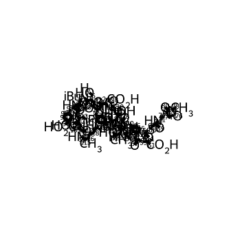 CC[C@H](C)[C@H](NC(=O)[C@H](CO)NC(=O)[C@H](Cc1ccc(O)cc1)NC(=O)[C@H](CC(=O)O)NC(=O)[C@H](CO)NC(=O)[C@@H](NC(=O)[C@H](Cc1ccccc1)NC(=O)[C@@H](NC(=O)CNC(=O)[C@H](CCC(=O)O)NC(=O)CSCC(=O)NCCN1CC(=O)N(C)C1=O)[C@@H](C)O)[C@@H](C)O)C(=O)N[C@@H](Cc1ccc(O)cc1)C(=O)N[C@@H](CC(C)C)C(=O)N[C@@H](CC(=O)O)C(=O)N[C@H](C)CCCCN